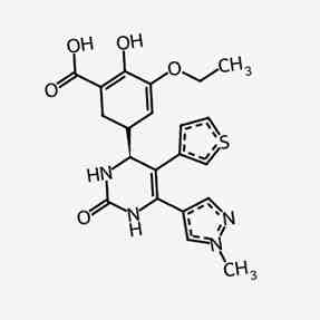 CCOC1=CC([C@@H]2NC(=O)NC(c3cnn(C)c3)=C2c2ccsc2)CC(C(=O)O)=C1O